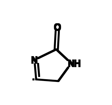 O=C1N=[C]CN1